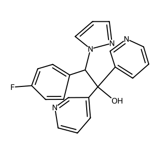 OC(c1cccnc1)(c1cccnc1)C(c1ccc(F)cc1)n1cccn1